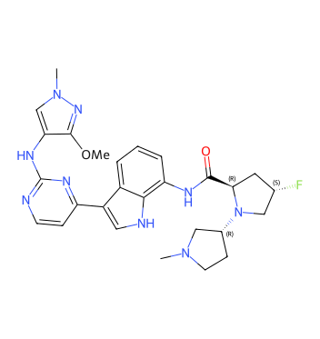 COc1nn(C)cc1Nc1nccc(-c2c[nH]c3c(NC(=O)[C@H]4C[C@H](F)CN4[C@@H]4CCN(C)C4)cccc23)n1